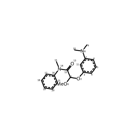 COC(Oc1cccc(N(C)C)c1)C(=O)N(C)c1ccccc1